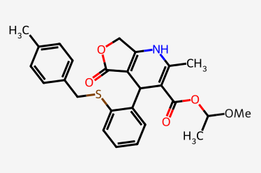 COC(C)OC(=O)C1=C(C)NC2=C(C(=O)OC2)C1c1ccccc1SCc1ccc(C)cc1